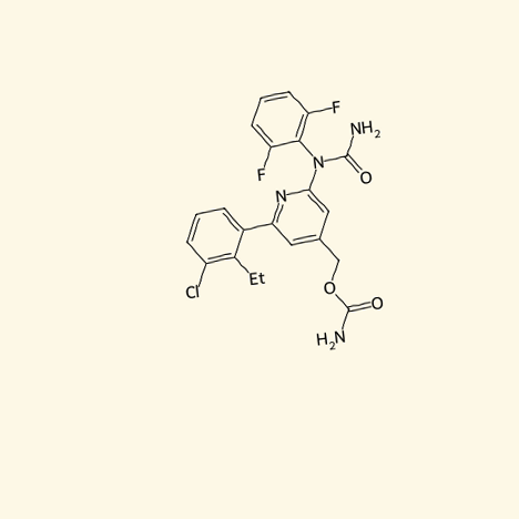 CCc1c(Cl)cccc1-c1cc(COC(N)=O)cc(N(C(N)=O)c2c(F)cccc2F)n1